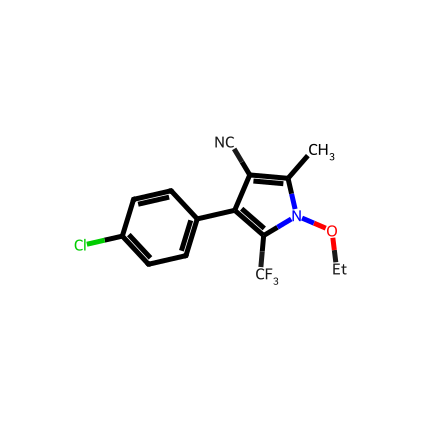 CCOn1c(C)c(C#N)c(-c2ccc(Cl)cc2)c1C(F)(F)F